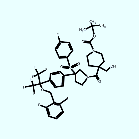 CC(C)(C)OC(=O)N1CCC(CO)(C(=O)N2CCC(c3ccc(C(OCc4c(F)cccc4F)(C(F)(F)F)C(F)(F)F)cc3)(S(=O)(=O)c3ccc(F)cc3)C2)CC1